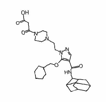 O=C(O)CC(=O)N1CCN(CCn2ncc(C(=O)NC3C4CC5CC(C4)CC3C5)c2OCC2CCCCC2)CC1